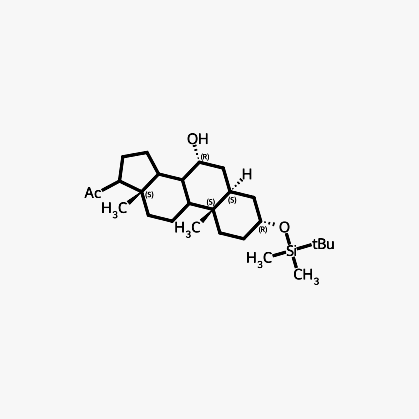 CC(=O)C1CCC2C3C(CC[C@]12C)[C@@]1(C)CC[C@@H](O[Si](C)(C)C(C)(C)C)C[C@@H]1C[C@H]3O